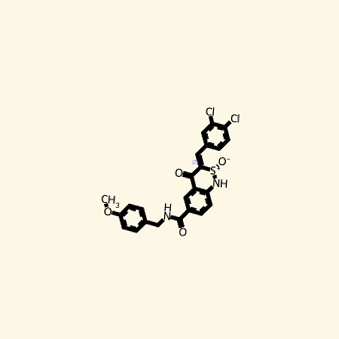 COc1ccc(CNC(=O)c2ccc3c(c2)C(=O)/C(=C/c2ccc(Cl)c(Cl)c2)[S+]([O-])N3)cc1